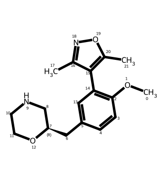 COc1ccc(C[C@@H]2CNCCO2)cc1-c1c(C)noc1C